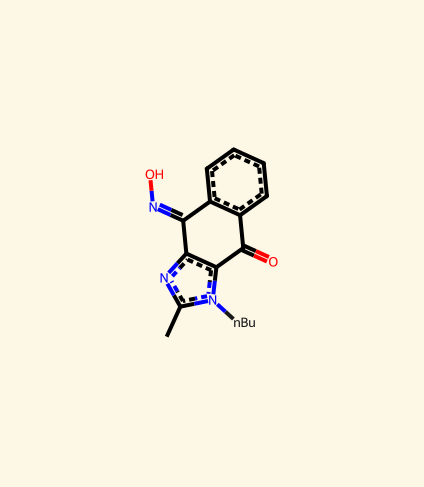 CCCCn1c(C)nc2c1C(=O)c1ccccc1C2=NO